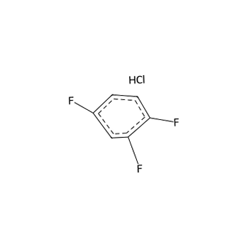 Cl.Fc1ccc(F)c(F)c1